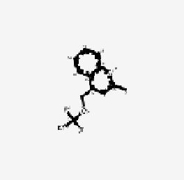 CCC(F)(F)OCc1cc(C)nc2ccccc12